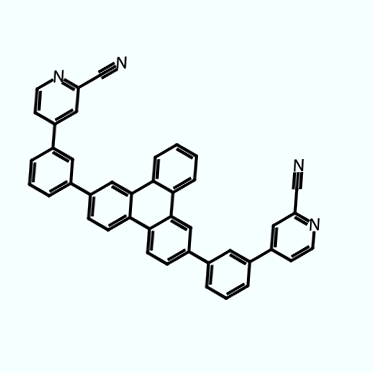 N#Cc1cc(-c2cccc(-c3ccc4c5ccc(-c6cccc(-c7ccnc(C#N)c7)c6)cc5c5ccccc5c4c3)c2)ccn1